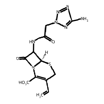 C=CC1=C(C(=O)O)N2C(=O)C(NC(=O)Cn3nnc(N)n3)[C@H]2SC1